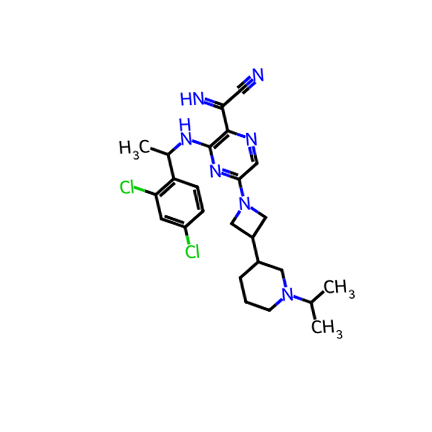 CC(Nc1nc(N2CC(C3CCCN(C(C)C)C3)C2)cnc1C(=N)C#N)c1ccc(Cl)cc1Cl